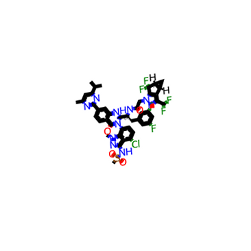 Cc1cc(C(C)C)nc(-c2ccc3c(=O)n(-c4ccc(Cl)c5c(NS(C)(=O)=O)nn(C)c45)c([C@H](Cc4cc(F)cc(F)c4)NC(=O)Cn4nc(C(F)F)c5c4C(F)(F)[C@@H]4C[C@H]54)nc3c2)n1